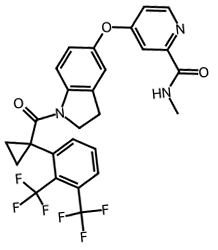 CNC(=O)c1cc(Oc2ccc3c(c2)CCN3C(=O)C2(c3cccc(C(F)(F)F)c3C(F)(F)F)CC2)ccn1